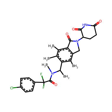 Bc1c(B)c(C(B)N(B)C(=O)C(F)(F)c2ccc(Cl)cc2)c(B)c2c1C(=O)N(C1CCC(=O)NC1=O)C2